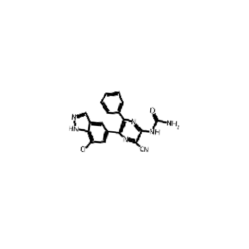 N#Cc1nc(-c2cc(Cl)c3[nH]ncc3c2)c(-c2ccccc2)nc1NC(N)=O